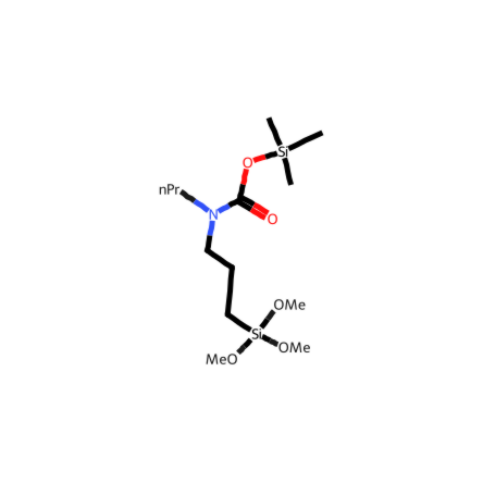 CCCN(CCC[Si](OC)(OC)OC)C(=O)O[Si](C)(C)C